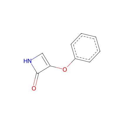 O=C1NC=C1Oc1ccccc1